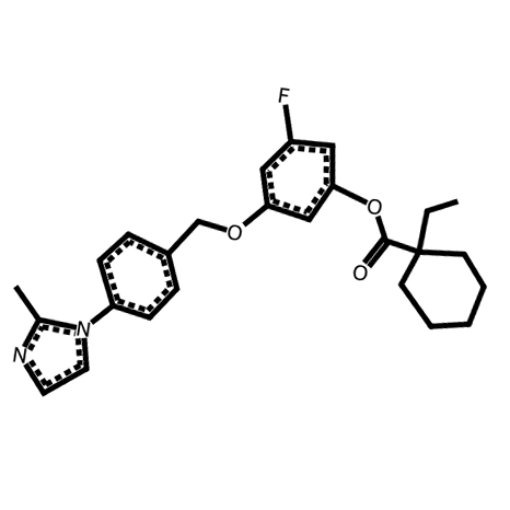 CCC1(C(=O)Oc2cc(F)cc(OCc3ccc(-n4ccnc4C)cc3)c2)CCCCC1